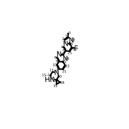 Cc1cn2cc(-c3ncc4cc(N5C[C@@H](C)NC6(CC6)C5)ccc4n3)cc(F)c2n1